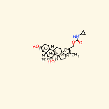 CC[C@H]1[C@@H](O)[C@@H]2[C@H](CC[C@]3(C)[C@@H]([C@H](C)CCOC(=O)NC4CC4)CC[C@@H]23)[C@@]2(C)CC[C@@H](O)C[C@@H]12